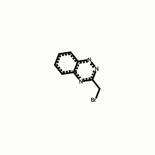 BrCc1nnc2ccccc2n1